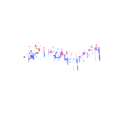 C=C1C[C@H]2C=Nc3cc(OCCCC(=O)Nc4cn(C)c(C(=O)Nc5cc(C(=O)Nc6cc(C(=O)n7ccc8cc(C(=O)NC)ccc87)n(C)c6)n(C)c5)n4)c(OC)cc3C(=O)N2C1